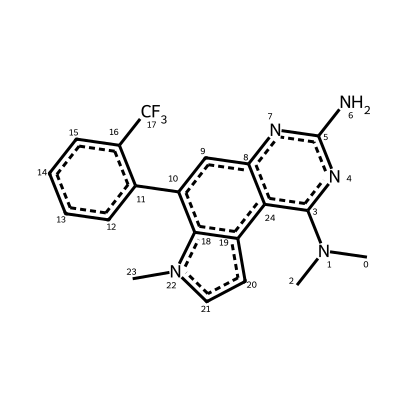 CN(C)c1nc(N)nc2cc(-c3ccccc3C(F)(F)F)c3c(ccn3C)c12